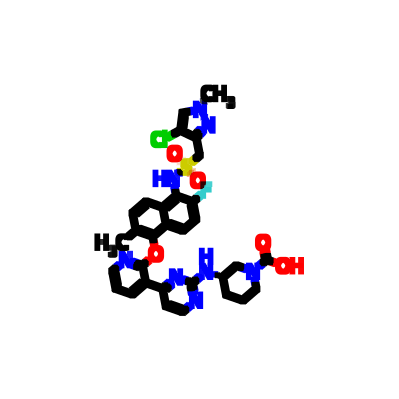 Cc1ccc2c(NS(=O)(=O)Cc3nn(C)cc3Cl)c(F)ccc2c1Oc1ncccc1-c1ccnc(N[C@H]2CCCN(C(=O)O)C2)n1